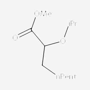 CCCCCCC(OC(C)C)C(=O)OC